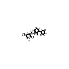 Cc1c(NC(=O)c2cc(Cl)c[nH]c2=O)cccc1-c1ccccc1